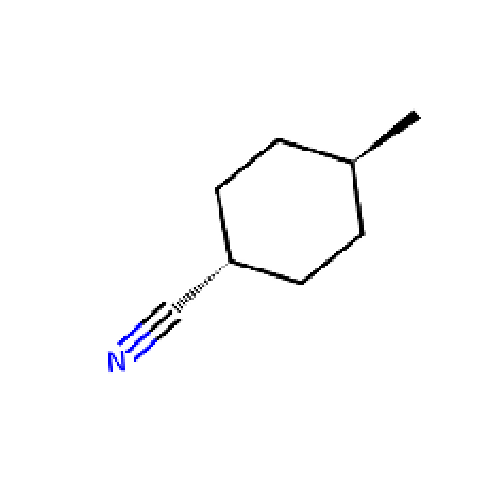 C[C@H]1CC[C@H](C#N)CC1